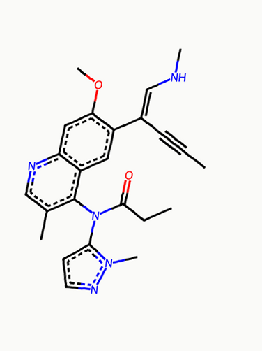 CC#C/C(=C\NC)c1cc2c(N(C(=O)CC)c3ccnn3C)c(C)cnc2cc1OC